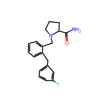 NC(=O)C1CCCN1Cc1ccccc1Cc1cccc(F)c1